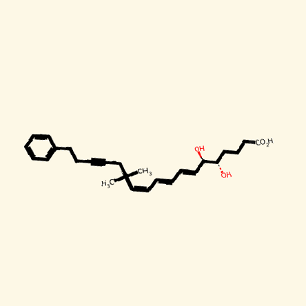 CC(C)(\C=C/C=C/C=C/[C@@H](O)[C@@H](O)CCCC(=O)O)CC#CCCc1ccccc1